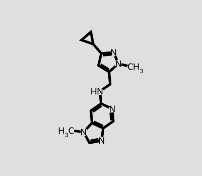 Cn1nc(C2CC2)cc1CNc1cc2c(cn1)ncn2C